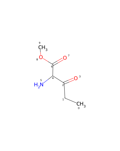 CCC(=O)C(N)C(=O)OC